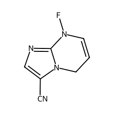 N#Cc1cnc2n1CC=CN2F